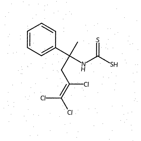 CC(CC(Cl)=C(Cl)Cl)(NC(=S)S)c1ccccc1